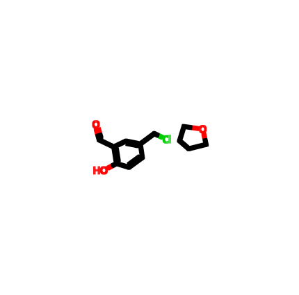 C1CCOC1.O=Cc1cc(CCl)ccc1O